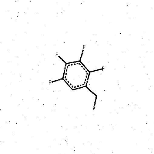 CCc1cc(F)c(F)c(F)c1F